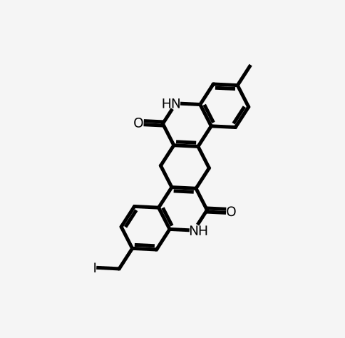 Cc1ccc2c3c(c(=O)[nH]c2c1)Cc1c(c(=O)[nH]c2cc(CI)ccc12)C3